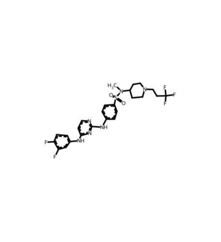 CN(C1CCN(CCC(F)(F)F)CC1)S(=O)(=O)c1ccc(Nc2nccc(Nc3ccc(F)c(F)c3)n2)cc1